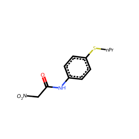 CCCSc1ccc(NC(=O)C[N+](=O)[O-])cc1